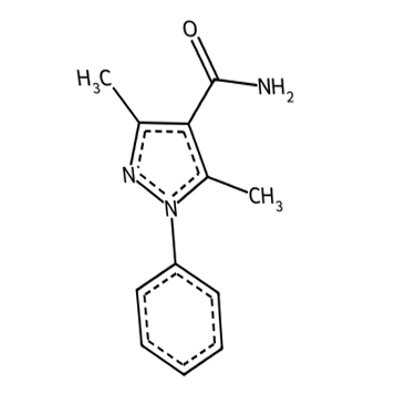 Cc1nn(-c2ccccc2)c(C)c1C(N)=O